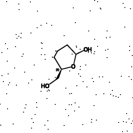 OC[C@H]1[CH][CH]CC(O)O1